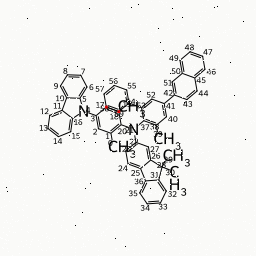 Cc1cc(-n2c3ccccc3c3ccccc32)cc(C)c1N(c1ccc2c(c1)C(C)(C)c1ccccc1-2)c1c(C)cc(-c2ccc3ccccc3c2)cc1-c1ccccc1